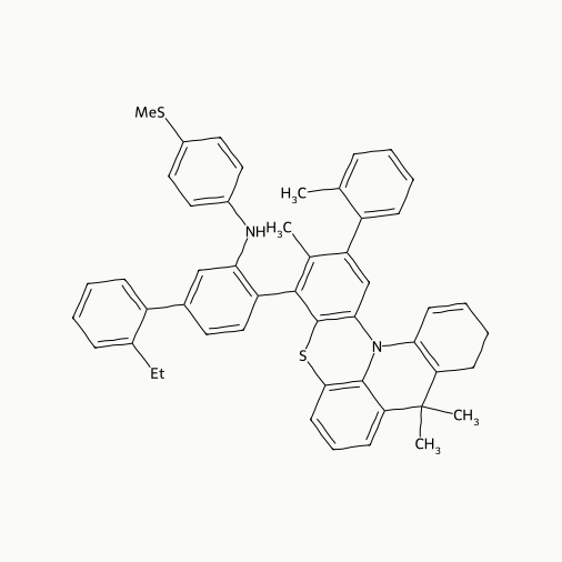 CCc1ccccc1-c1ccc(-c2c(C)c(-c3ccccc3C)cc3c2Sc2cccc4c2N3C2=C(CCC=C2)C4(C)C)c(Nc2ccc(SC)cc2)c1